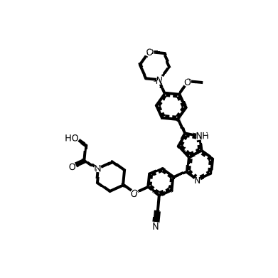 COc1cc(-c2cc3c(-c4ccc(OC5CCN(C(=O)CO)CC5)c(C#N)c4)nccc3[nH]2)ccc1N1CCOCC1